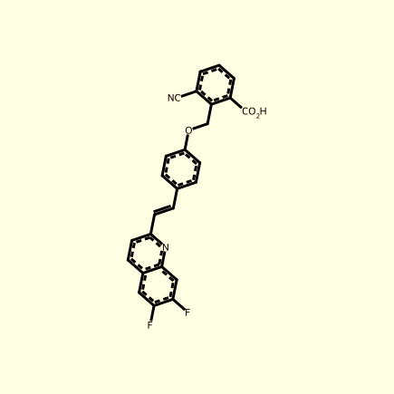 N#Cc1cccc(C(=O)O)c1COc1ccc(C=Cc2ccc3cc(F)c(F)cc3n2)cc1